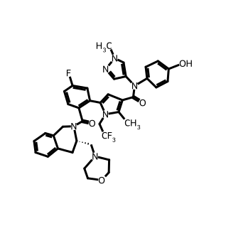 Cc1c(C(=O)N(c2ccc(O)cc2)c2cnn(C)c2)cc(-c2cc(F)ccc2C(=O)N2Cc3ccccc3C[C@H]2CN2CCOCC2)n1CC(F)(F)F